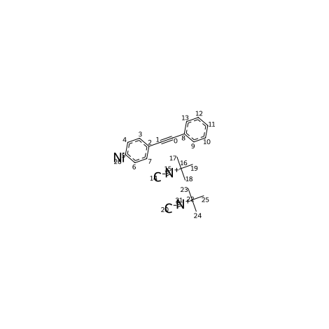 C(#Cc1ccccc1)c1ccccc1.[C-]#[N+]C(C)(C)C.[C-]#[N+]C(C)(C)C.[Ni]